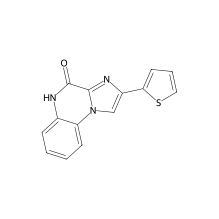 O=c1[nH]c2ccccc2n2cc(-c3cccs3)nc12